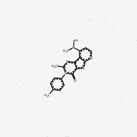 CCCN(C)c1ccnc2sc3c(=O)n(-c4ccc(C)cc4)c(C)nc3c12